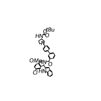 COc1ccc(Cl)cc1[C@@H](NC(=O)c1cccc(-c2ccc(N3CC[C@H](NC(=O)OC(C)(C)C)C3)cc2)c1)c1cc2ccccc2[nH]1